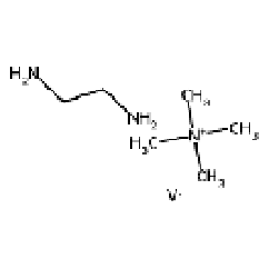 C[N+](C)(C)C.NCCN.[V]